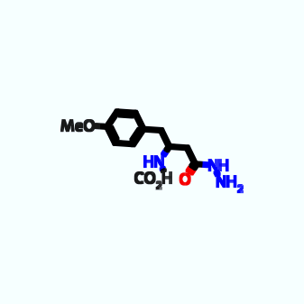 COc1ccc(CC(CC(=O)NN)NC(=O)O)cc1